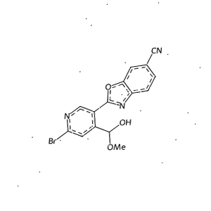 COC(O)c1cc(Br)ncc1-c1nc2ccc(C#N)cc2o1